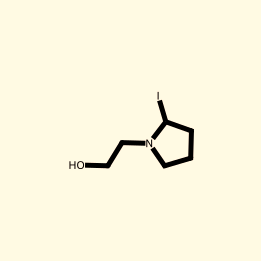 OCCN1CCCC1I